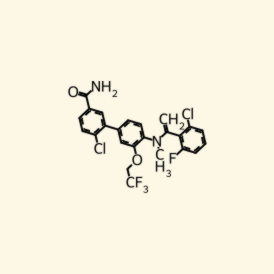 C=C(c1c(F)cccc1Cl)N(C)c1ccc(-c2cc(C(N)=O)ccc2Cl)cc1OCC(F)(F)F